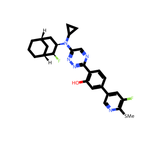 CSc1ncc(-c2ccc(-c3ncc(N(C4CC4)[C@@H]4C[C@H]5CCC[C@H](C5)[C@@H]4F)nn3)c(O)c2)cc1F